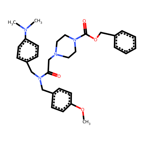 COc1ccc(CN(Cc2ccc(N(C)C)cc2)C(=O)CN2CCN(C(=O)OCc3ccccc3)CC2)cc1